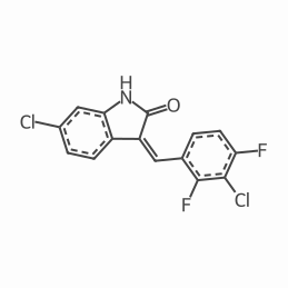 O=C1Nc2cc(Cl)ccc2C1=Cc1ccc(F)c(Cl)c1F